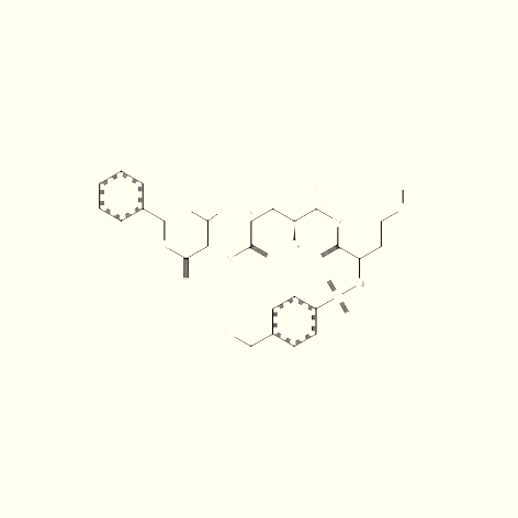 CSCCC(NS(=O)(=O)c1ccc(CO)cc1)C(=O)N[C@@H](C)[C@@H](O)C[C@@H](C)C(=O)N[C@H](C(=O)NCc1ccccc1)C(C)C